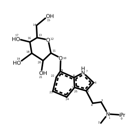 CC(C)N(C)CCc1c[nH]c2c(OC3OC(CO)C(O)C(O)C3O)cccc12